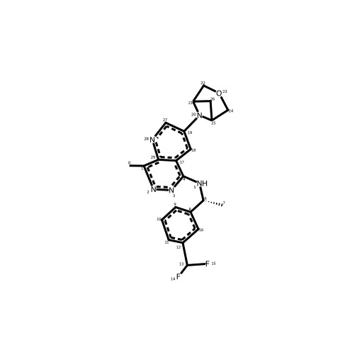 Cc1nnc(N[C@H](C)c2cccc(C(F)F)c2)c2cc(N3C4COCC3C4)cnc12